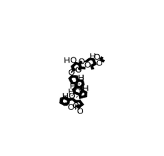 CC1O[C@@H](O[C@H]2CC[C@@]3(C)[C@H](CC[C@@H]4[C@@H]3C[C@@H](O)[C@]3(C)[C@@H](C5CC(=O)OC5Cc5ccccc5O)CC[C@]43O)C2)C[C@@H](O)C1O[C@H]1C[C@H]2OC(C)(C)OC2C(C)O1